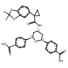 O=C(O)c1ccc([C@@H]2C[C@@H](NC(=O)C3(c4ccc5c(c4)OC(F)(F)O5)CC3)C[C@H](c3ccc(C(=O)O)cc3)O2)cc1